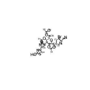 CC(=O)OCC(OC(Sc1cnc(C#N)c(Br)c1)[C@H](Cn1cc(-c2csc(O)n2)nn1)OC(C)=O)[C@@H](C)OC(C)=O